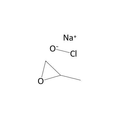 CC1CO1.[Na+].[O-]Cl